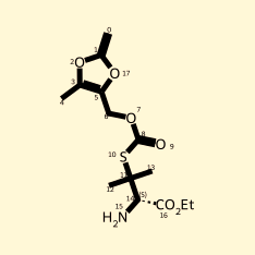 C=C1OC(C)=C(COC(=O)SC(C)(C)[C@@H](N)C(=O)OCC)O1